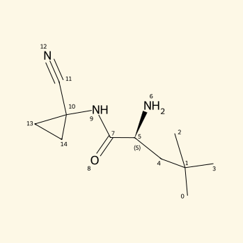 CC(C)(C)C[C@H](N)C(=O)NC1(C#N)CC1